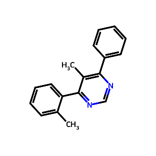 Cc1ccccc1-c1ncnc(-c2ccccc2)c1C